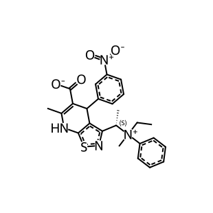 CC[N+](C)(c1ccccc1)[C@@H](C)c1nsc2c1C(c1cccc([N+](=O)[O-])c1)C(C(=O)[O-])=C(C)N2